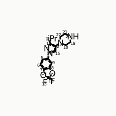 CC(C)c1nn(-c2ccc3c(c2)OC(F)(F)O3)cc1N1CCNCC1